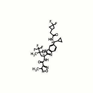 Cc1nonc1C(=O)N[C@@H](CC(C)(C)C(F)(F)F)c1nc2ccc([C@H](NC(=O)CC3CC(F)(F)C3)C3CC3)cc2[nH]1